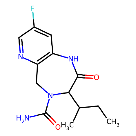 CCC(C)C1C(=O)Nc2cc(F)cnc2CN1C(N)=O